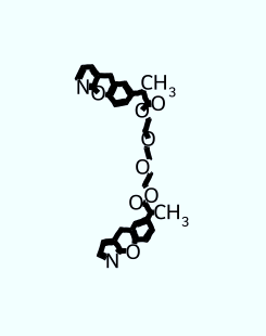 CC(C(=O)OCCOCCOCCOC(=O)C(C)c1ccc2c(c1)Cc1cccnc1O2)c1ccc2c(c1)Cc1cccnc1O2